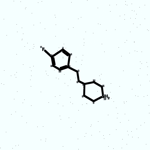 Fc1ccc(CCC2CC[SiH2]CC2)cc1